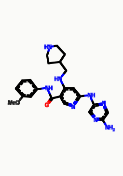 COc1cccc(NC(=O)c2cnc(Nc3cnc(N)cn3)cc2NCC2CCNCC2)c1